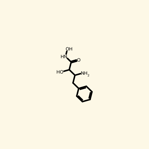 NC(Cc1ccccc1)C(O)C(=O)NO